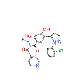 CN(C(=O)c1ccncc1)C(=O)c1cc(-c2ccnn2-c2ccccc2Cl)c(O)cc1O